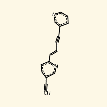 C#Cc1ccc(/C=C/C#Cc2cccnc2)nc1